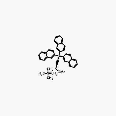 COCC#C[B-](c1ccc2ccccc2c1)(c1ccc2ccccc2c1)c1ccc2ccccc2c1.C[N+](C)(C)C